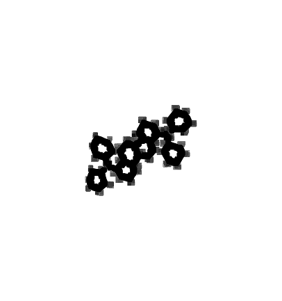 c1ccc(N(c2ccccc2)c2cccc3c2ccc2c4cccc(N(c5ccccc5)c5ccccc5)c4ccc32)cc1